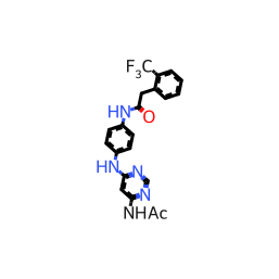 CC(=O)Nc1cc(Nc2ccc(NC(=O)Cc3ccccc3C(F)(F)F)cc2)ncn1